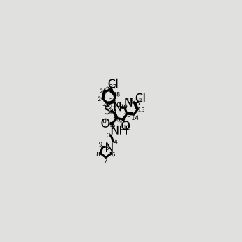 O=C(NCCN1CCCC1)c1c(=O)c2ccc(Cl)nc2n2c1sc1ccc(Cl)cc12